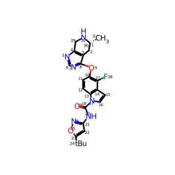 C[C@@H]1Cc2c(ncnc2Oc2ccc3c(ccn3C(=O)Nc3cc(C(C)(C)C)on3)c2F)CN1